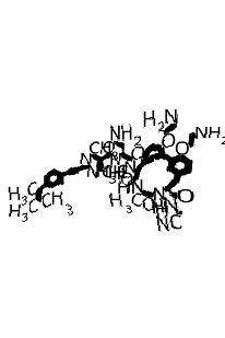 CC(C)=C(C)c1ccc(C#Cc2nc(C)c(C(=O)N[C@@H](CCN)C(=O)N(C)[C@@H]3C(=O)N[C@@H](C)C(=O)N[C@H](C(=O)NCC#N)Cc4ccc(OCCN)c(c4)-c4cc3ccc4OCCN)c(C)n2)cc1